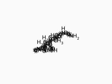 Cc1cc(N=Nc2ccc3cc(NCOc4ccc(N)cc4)ccc3c2O)c(C)cc1N=Nc1cc(C)c(N=Nc2ccc(N=Nc3ccccc3)cc2S(=O)(=O)O)cc1OCCS(=O)(=O)O